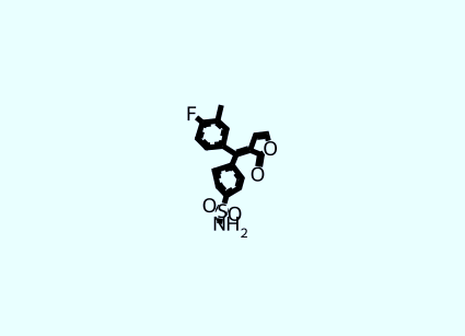 Cc1cc(C(=C2C=COC2=O)c2ccc(S(N)(=O)=O)cc2)ccc1F